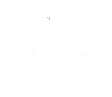 Cc1c[c]cc(C)c1S(=O)(=O)C[N+](=O)[O-]